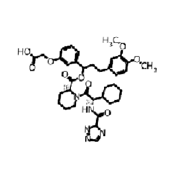 COc1ccc(CCC(OC(=O)[C@@H]2CCCCN2C(=O)[C@@H](NC(=O)C2N=CN=N2)C2CCCCC2)c2cccc(OCC(=O)O)c2)cc1OC